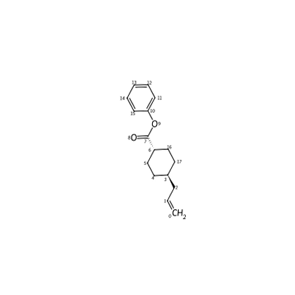 C=CC[C@H]1CC[C@H](C(=O)Oc2ccccc2)CC1